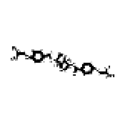 CCCCC(CC)COc1ccc(C(=O)O[C@H]2CO[C@H]3[C@@H]2OC[C@H]3OC(=O)c2ccc(OCC(CC)CCCC)cc2)cc1